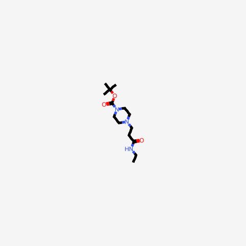 CCNC(=O)CCN1CCN(C(=O)OC(C)(C)C)CC1